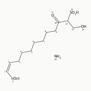 CCCCCCCC/C=C\CCCCCCCC(=O)C(CO)S(=O)(=O)O.N